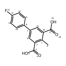 Cc1c(C(=O)O)cc(-c2ccc(F)cc2)cc1C(=O)O